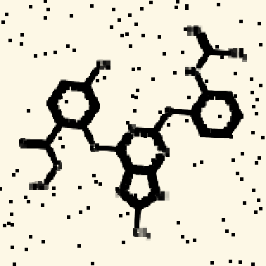 CCCCOC(=O)c1ccc(C#N)cc1Oc1nc(Oc2ccccc2NC(=N)N)nc2[nH]c(C)nc12